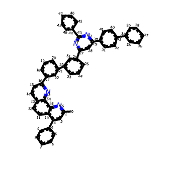 Cc1cc(-c2ccccc2)c2ccc3ccc(-c4cccc(-c5cccc(-c6cc(-c7ccc(-c8ccccc8)cc7)nc(-c7ccccc7)n6)c5)c4)nc3c2n1